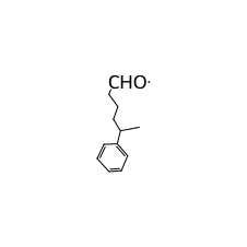 CC(CCC[C]=O)c1ccccc1